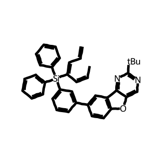 C=C/C=C(\C=C/C)[Si](c1ccccc1)(c1ccccc1)c1cccc(-c2ccc3oc4cnc(C(C)(C)C)nc4c3c2)c1